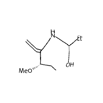 C=C(NC(O)CC)[C@H](C)OC